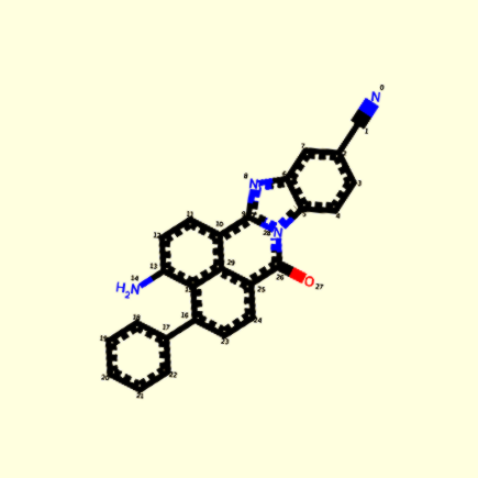 N#Cc1ccc2c(c1)nc1c3ccc(N)c4c(-c5ccccc5)ccc(c(=O)n21)c43